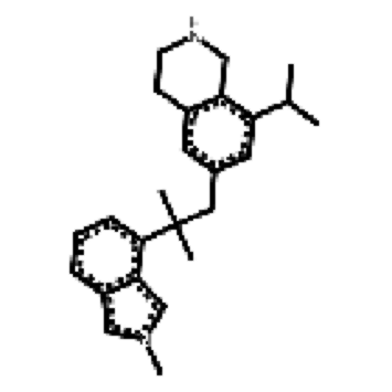 CC(C)c1cc(CC(C)(C)c2cccc3cn(C)cc23)cc2c1CNCC2